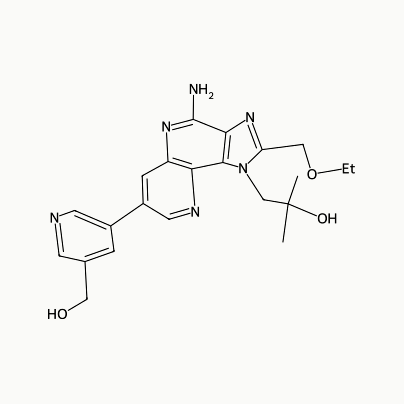 CCOCc1nc2c(N)nc3cc(-c4cncc(CO)c4)cnc3c2n1CC(C)(C)O